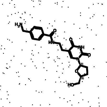 NCc1ccc(C(=O)NCCc2cn([C@H]3CC[C@@H](CO)O3)c(=O)[nH]c2=O)cc1